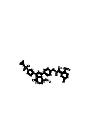 COc1ccc(F)cc1C(=O)NCc1ccc(-c2cn(C3CCN(S(=O)(=O)C4CC4)C3)c3c(=O)[nH]nc(N)c23)cc1